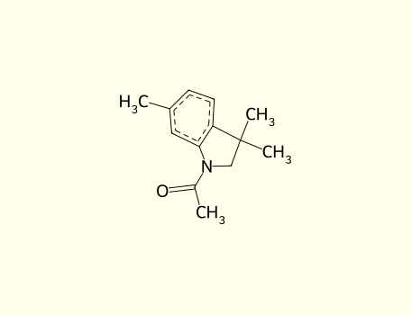 CC(=O)N1CC(C)(C)c2ccc(C)cc21